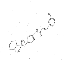 C[N+](C)(Cc1ccc(NC(=O)C=Cc2cccc(Br)c2)cc1)C1CCCCC1.[I-]